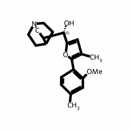 COc1cc(C)ccc1-c1oc([C@@H](O)C2CN3CCC2CC3)cc1C